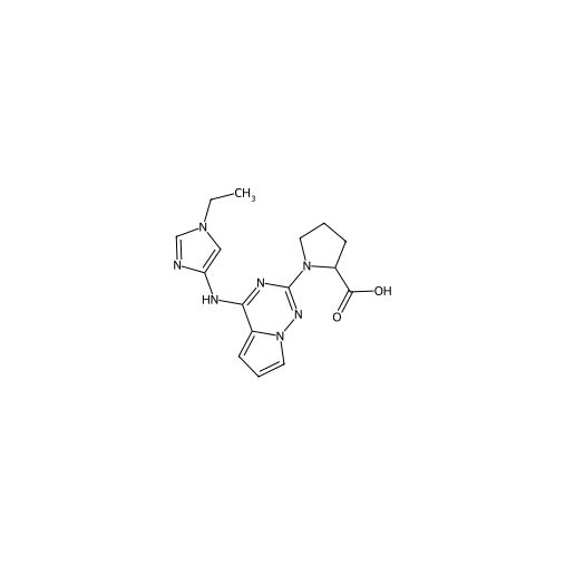 CCn1cnc(Nc2nc(N3CCCC3C(=O)O)nn3cccc23)c1